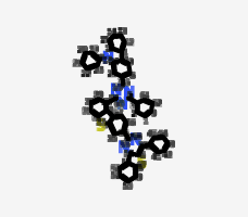 c1ccc(-c2nc(-c3ccc4c5ccccc5n(-c5ccccc5)c4c3)nc(-c3cccc4sc5cc(-c6nc(-c7ccccc7)c7sc8ccccc8c7n6)ccc5c34)n2)cc1